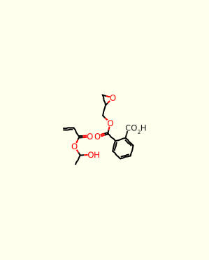 C=CC(=O)OC(C)O.O=C(O)c1ccccc1C(=O)OCC1CO1